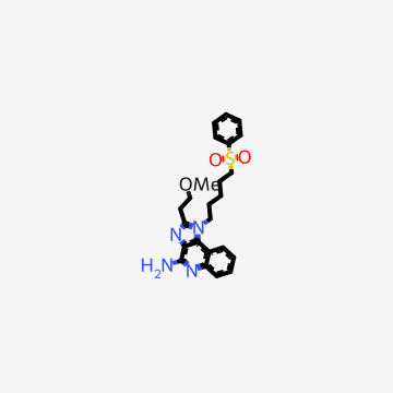 COCCc1nc2c(N)nc3ccccc3c2n1CCCCCS(=O)(=O)c1ccccc1